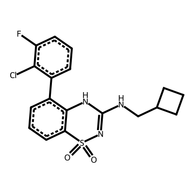 O=S1(=O)N=C(NCC2CCC2)Nc2c(-c3cccc(F)c3Cl)cccc21